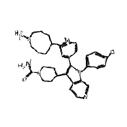 CN1CCCC(c2cc(-c3c(C4CCN(C(N)=O)CC4)c4ccncc4n3-c3ccc(Cl)cc3)ccn2)CCC1